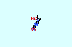 CCCCC(CO)N(CCC)c1ccc(/N=N/c2ccc([N+](=O)[O-])cc2)cc1